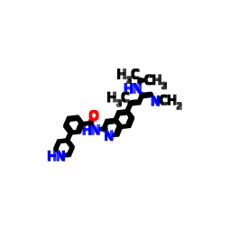 C=N/C=C(\C=C(/C)c1ccc2cnc(NC(=O)c3cccc(C4CCNCC4)c3)cc2c1)NC(C)C